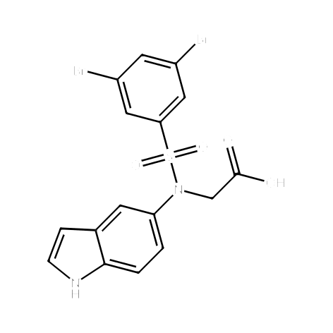 O=C(O)CN(c1ccc2[nH]ccc2c1)S(=O)(=O)c1cc(Br)cc(Br)c1